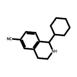 N#Cc1ccc2c(c1)CCNC2C1CCCCC1